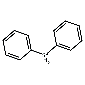 c1cc[c]([SnH2][c]2ccccc2)cc1